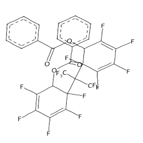 O=C(OC1C(F)=C(F)C(F)=C(F)C1(F)C(C(F)(F)F)(C(F)(F)F)C1(F)C(F)=C(F)C(F)=C(F)C1OC(=O)c1ccccc1)c1ccccc1